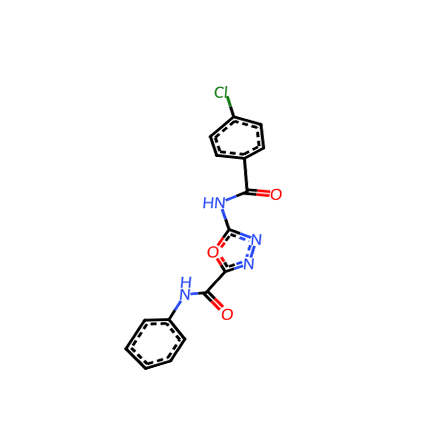 O=C(Nc1nnc(C(=O)Nc2ccccc2)o1)c1ccc(Cl)cc1